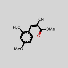 COC(=O)C(C#N)=Cc1ccc(OC)cc1C